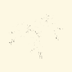 [N-]=[N+]=C1C=Cc2c(cccc2S(=O)(=O)Oc2ccc(OS(=O)(=O)c3cccc4c3C=CC(=[N+]=[N-])C4=O)c(OS(=O)(=O)c3cccc4c3C=CC(=[N+]=[N-])C4=O)c2)C1=O